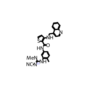 CN/C(=N\C#N)Nc1cc(NC(=O)c2sccc2NCc2ccnc3ccccc23)ccc1C